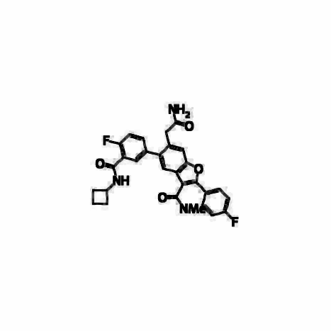 CNC(=O)c1c(-c2ccc(F)cc2)oc2cc(CC(N)=O)c(-c3ccc(F)c(C(=O)NC4CCC4)c3)cc12